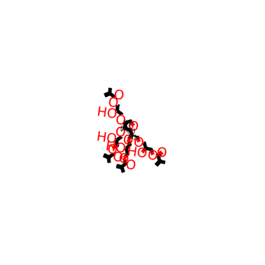 C=C(C)C(=O)OCC(O)COC[C@@H](OCC(O)COC(=O)C(=C)C)[C@H]1OC[C@H](OCC(O)COC(=O)C(=C)C)[C@H]1OCC(O)COC(=O)C(=C)C